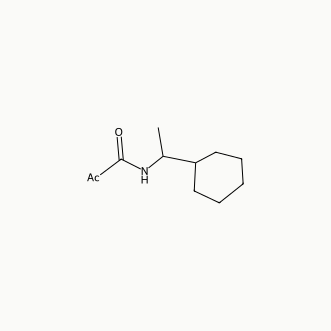 CC(=O)C(=O)NC(C)C1CCCCC1